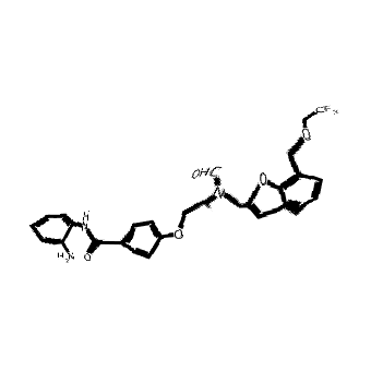 Nc1ccccc1NC(=O)c1ccc(OCCN(C=O)c2cc3cccc(COCC(F)(F)F)c3o2)cc1